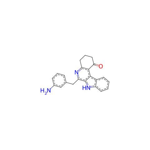 Nc1cccc(Cc2nc3c(c4c2[nH]c2ccccc24)C(=O)CCC3)c1